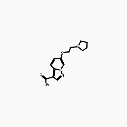 CC(C)C(=O)c1cnn2cc(OCCN3CCCC3)ccc12